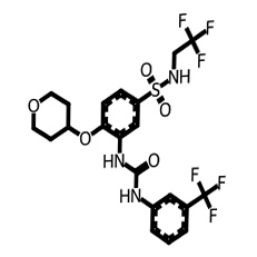 O=C(Nc1cccc(C(F)(F)F)c1)Nc1cc(S(=O)(=O)NCC(F)(F)F)ccc1OC1CCOCC1